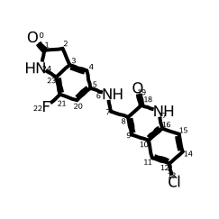 O=C1Cc2cc(NCc3cc4cc(Cl)ccc4[nH]c3=O)cc(F)c2N1